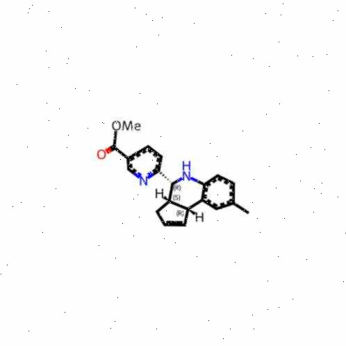 COC(=O)c1ccc([C@@H]2Nc3ccc(C)cc3[C@@H]3C=CC[C@@H]32)nc1